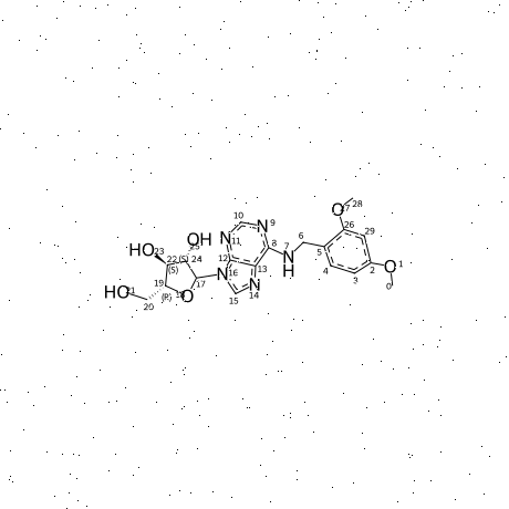 COc1ccc(CNc2ncnc3c2ncn3C2O[C@H](CO)[C@@H](O)[C@@H]2O)c(OC)c1